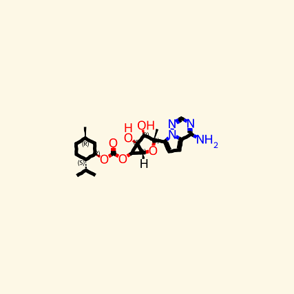 CC(C)[C@@H]1CC[C@@H](C)C[C@H]1OC(=O)OC1[C@H]2O[C@@](C)(c3ccc4c(N)ncnn34)[C@H](O)[C@@]12O